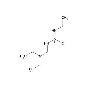 CCN[SiH](Cl)NCN(CC)CC